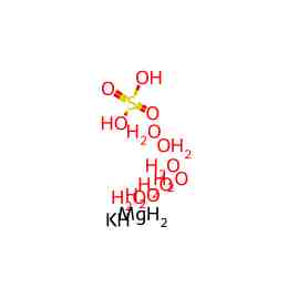 O.O.O.O.O.O.O.O=S(=O)(O)O.[KH].[MgH2]